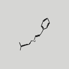 CC(C)=CCOC=Cc1ccccc1